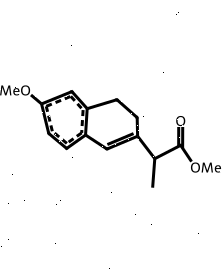 COC(=O)C(C)C1=Cc2ccc(OC)cc2CC1